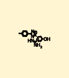 Cc1ccc(-c2noc([C@@H]3C[C@H](O)CN3C(=N)N)n2)cc1